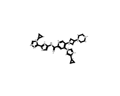 O=C(Nc1csc(-c2nncn2C2CC2)n1)c1cc(-n2cnc(C3CC3)c2)c(N2CC(N3CCOCC3)C2)cn1